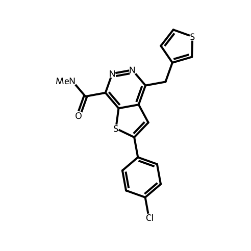 CNC(=O)c1nnc(Cc2ccsc2)c2cc(-c3ccc(Cl)cc3)sc12